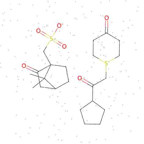 CC1(C)C2CCC1(CS(=O)(=O)[O-])C(=O)C2.O=C1CC[S+](CC(=O)C2CCCC2)CC1